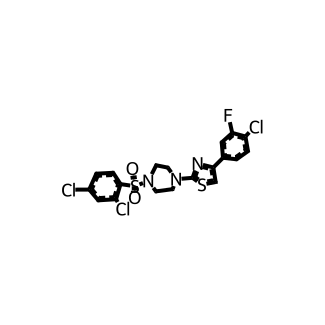 O=S(=O)(c1ccc(Cl)cc1Cl)N1CCN(c2nc(-c3ccc(Cl)c(F)c3)cs2)CC1